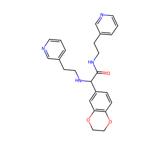 O=C(NCCc1cccnc1)C(NCCc1cccnc1)c1ccc2c(c1)OCCO2